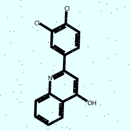 Oc1cc(-c2ccc(Cl)c(Cl)c2)nc2ccccc12